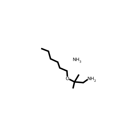 CCCCCCOC(C)(C)CN.N